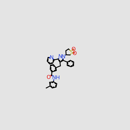 Cc1cccc(NC(=O)c2cccc(Cc3c(-c4ccccn4)nn(C4CCS(=O)(=O)C4)c3-c3ccccc3)c2)c1